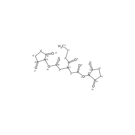 CCCC(=O)N(CC(=O)ON1C(=O)CCC1=O)CC(=O)ON1C(=O)CCC1=O